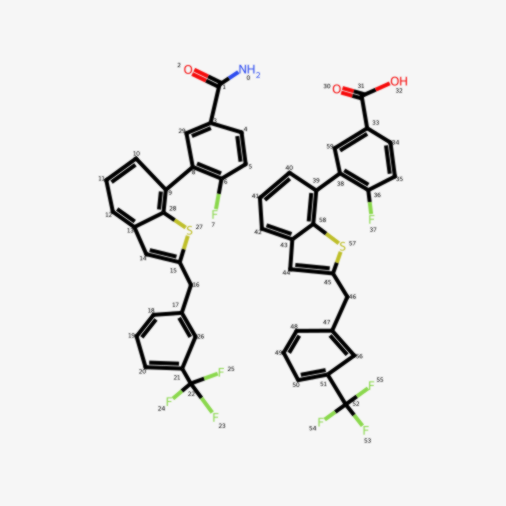 NC(=O)c1ccc(F)c(-c2cccc3cc(Cc4cccc(C(F)(F)F)c4)sc23)c1.O=C(O)c1ccc(F)c(-c2cccc3cc(Cc4cccc(C(F)(F)F)c4)sc23)c1